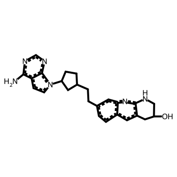 Nc1ncnc2c1ccn2C1CCC(CCc2ccc3cc4c(nc3c2)NCC(O)C4)C1